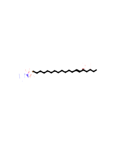 CCCC[C@@H](O)C=CCCCCCCCCCCCCS(N)(=O)=O